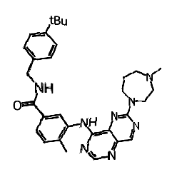 Cc1ccc(C(=O)NCc2ccc(C(C)(C)C)cc2)cc1Nc1ncnc2cnc(N3CCCN(C)CC3)nc12